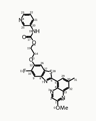 COc1cnc2c(-c3nc4cc(F)c(OCCOC(=O)Nc5cccnc5)cc4s3)cc(C)cc2n1